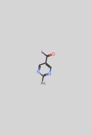 CC(=O)c1ncc(C(=O)I)cn1